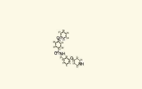 O=C(NCc1cccc(OC2CCNCC2)c1)c1ccc(Oc2ccccc2)cc1